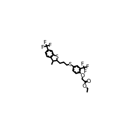 CCOC(=O)COc1ccc(SCCCC2Sc3cc(C(F)(F)F)ccc3C2C)cc1C(F)(F)F